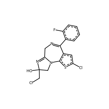 OC1(CCl)CN2C(=N1)CN=C(c1ccccc1F)c1cc(Cl)sc12